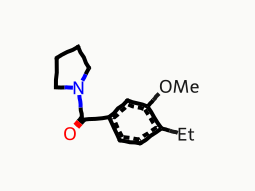 CCc1ccc(C(=O)N2CCCC2)cc1OC